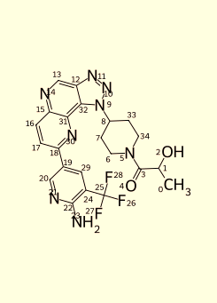 CC(O)C(=O)N1CCC(n2nnc3cnc4ccc(-c5cnc(N)c(C(F)(F)F)c5)nc4c32)CC1